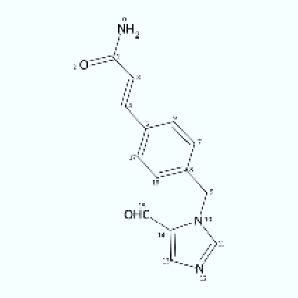 NC(=O)C=Cc1ccc(Cn2cncc2C=O)cc1